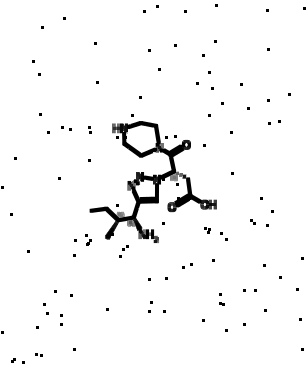 CC[C@H](C)[C@H](N)c1cn([C@@H](CC(=O)O)C(=O)N2CCNCC2)nn1